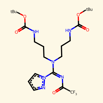 CC(C)(C)OC(=O)NCCCN(CCCNC(=O)OC(C)(C)C)/C(=N/C(=O)C(F)(F)F)n1cccn1